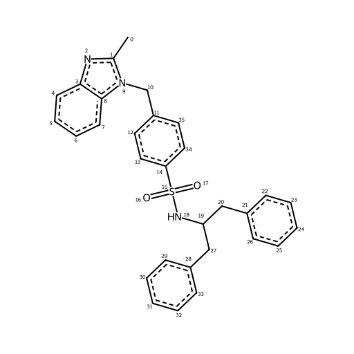 Cc1nc2ccccc2n1Cc1ccc(S(=O)(=O)NC(Cc2ccccc2)Cc2ccccc2)cc1